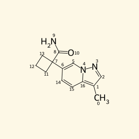 Cc1cnn2cc(C3(C(N)=O)CCC3)ccc12